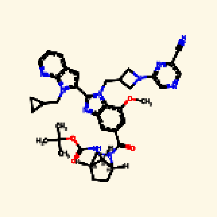 COc1cc(C(=O)N2C[C@H]3CC[C@@H]2[C@@H]3NC(=O)OC(C)(C)C)cc2nc(-c3cc4cccnc4n3CC3CC3)n(CC3CN(c4cncc(C#N)n4)C3)c12